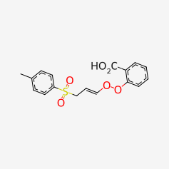 Cc1ccc(S(=O)(=O)CC=COOc2ccccc2C(=O)O)cc1